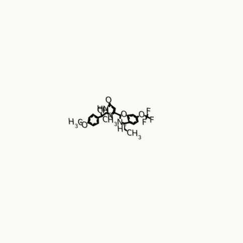 CC[C@@H](NC(=O)c1cc(=O)[nH]c(C(C)(C)c2ccc(OC)cc2)n1)c1ccc(OC(F)(F)F)cc1